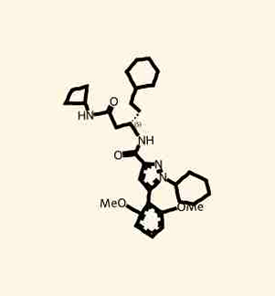 COc1cccc(OC)c1-c1cc(C(=O)N[C@@H](CCC2CCCCC2)CC(=O)NC2CCC2)nn1C1CCCCC1